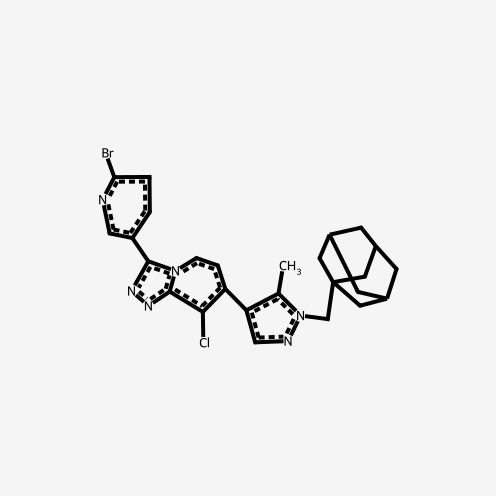 Cc1c(-c2ccn3c(-c4ccc(Br)nc4)nnc3c2Cl)cnn1CC12CC3CC(CC(C3)C1)C2